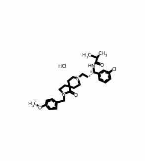 COc1ccc(CN2CCC3(CCN(CC[C@H](NC(=O)C(C)C)c4cccc(Cl)c4)CC3)C2=O)cc1.Cl